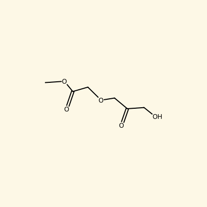 COC(=O)COCC(=O)CO